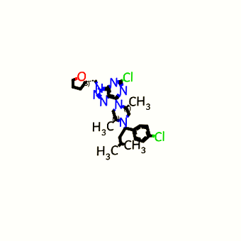 CC(C)CC(c1ccc(Cl)cc1)N1C[C@H](C)N(c2nc(Cl)nc3c2nnn3C[C@@H]2CCCO2)C[C@H]1C